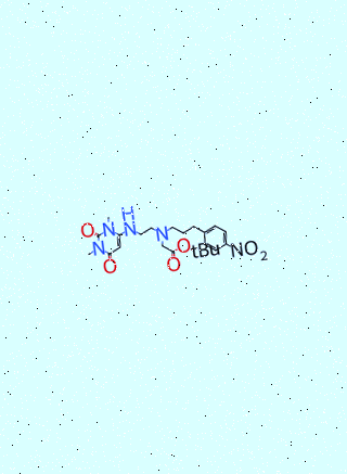 Cn1c(NCCN(CCCc2ccc([N+](=O)[O-])cc2)CC(=O)OC(C)(C)C)cc(=O)n(C)c1=O